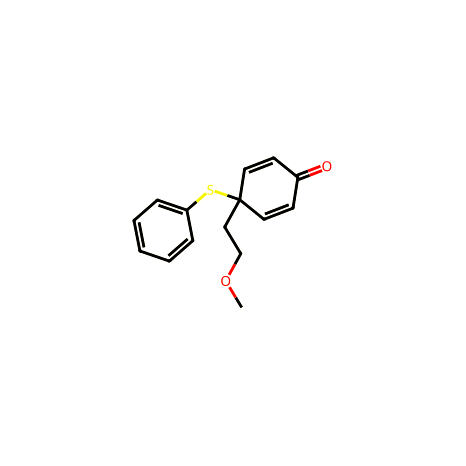 COCCC1(Sc2ccccc2)C=CC(=O)C=C1